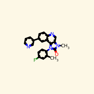 Cc1cc(F)ccc1-n1c(=O)n(C)c2cnc3ccc(-c4cccnc4)cc3c21